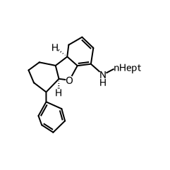 CCCCCCCNC1=C2O[C@H]3C(c4ccccc4)CCCC3[C@H]2CC=C1